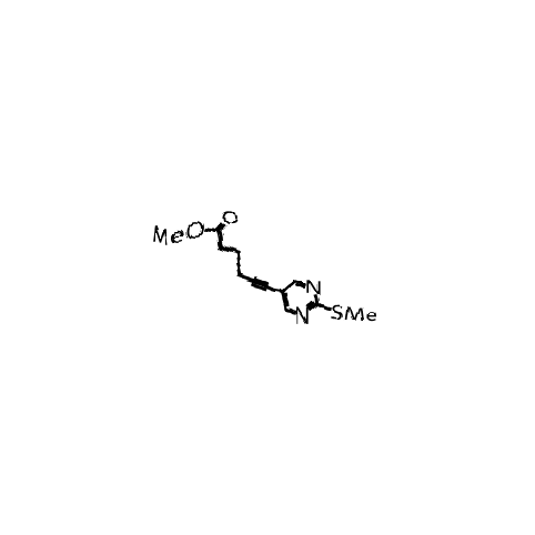 COC(=O)CCCC#Cc1cnc(SC)nc1